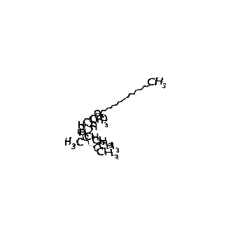 CCCCCCCCCCCCCCCCCC(=O)OC1CC[C@@]2(C)C(CC[C@H]3[C@@H]4CC[C@H]([C@H](C)CC[C@@H](CC)C(C)C)[C@@]4(C)CC[C@@H]32)C1